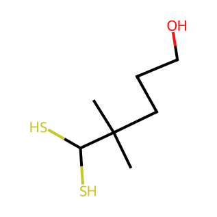 CC(C)(CCCO)C(S)S